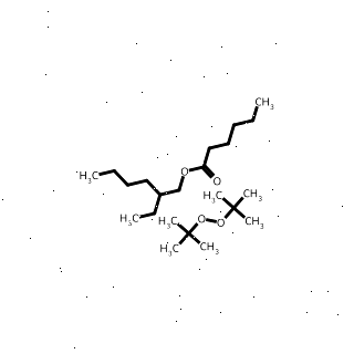 CC(C)(C)OOC(C)(C)C.CCCCCC(=O)OCC(CC)CCCC